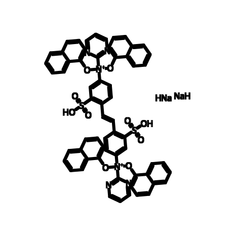 O=S(=O)(O)c1cc([N+](Oc2cccc3ccccc23)(Oc2cccc3ccccc23)c2ncccn2)ccc1C=Cc1ccc([N+](Oc2cccc3ccccc23)(Oc2cccc3ccccc23)c2ncccn2)cc1S(=O)(=O)O.[NaH].[NaH]